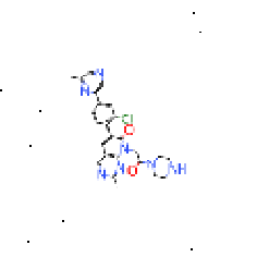 Cc1cncc(-c2ccc(-c3cc4cnc(C)nc4n(CC(=O)N4CCNCC4)c3=O)c(Cl)c2)n1